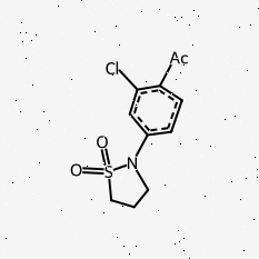 CC(=O)c1ccc(N2CCCS2(=O)=O)cc1Cl